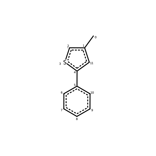 Cc1[c]sc(-c2ccccc2)c1